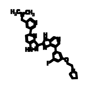 CN(C)Cc1cncc(-c2ccc3[nH]nc(-c4nc5c(-c6cc(F)cc(OCCN7CCCC7)c6)cncc5[nH]4)c3n2)c1